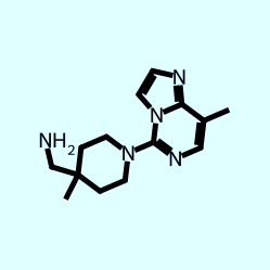 Cc1cnc(N2CCC(C)(CN)CC2)n2ccnc12